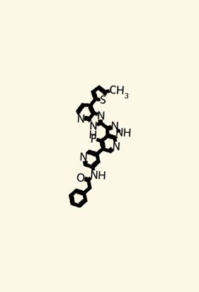 Cc1ccc(-c2ccnc3[nH]c(-c4n[nH]c5ncc(-c6cncc(NC(=O)Cc7ccccc7)c6)c(F)c45)nc23)s1